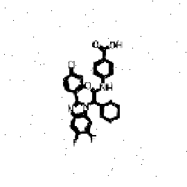 O=C(O)c1ccc(NC(=O)C(C2CCCCC2)n2c(-c3ccc(Cl)cc3)nc3cc(F)c(F)cc32)cc1